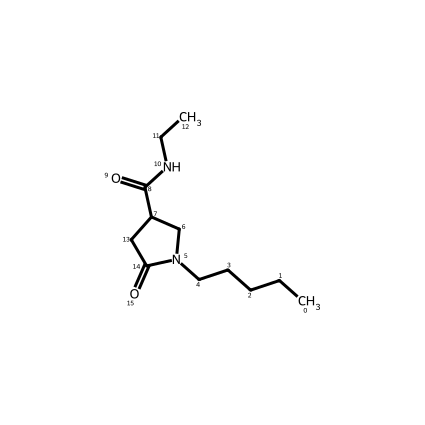 CCCCCN1CC(C(=O)NCC)CC1=O